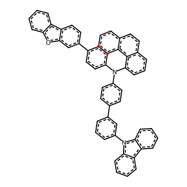 c1cc(-c2ccc(N(c3ccc(-c4ccc5c(c4)oc4ccccc45)cc3)c3cccc4ccc5ccccc5c34)cc2)cc(-n2c3ccccc3c3ccccc32)c1